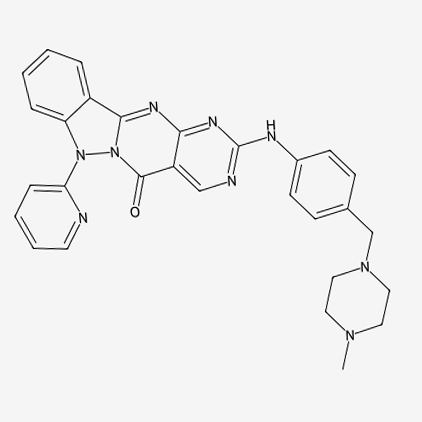 CN1CCN(Cc2ccc(Nc3ncc4c(=O)n5c(nc4n3)c3ccccc3n5-c3ccccn3)cc2)CC1